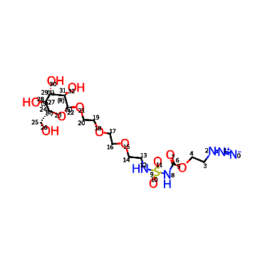 [N-]=[N+]=NCCOC(=O)NS(=O)(=O)NCCOCCOCCO[C@H]1O[C@H](CO)[C@@H](O)[C@H](O)[C@H]1O